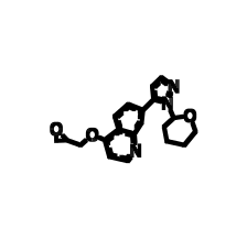 c1cc(OCC2CO2)c2ccc(-c3ccnn3C3CCCCO3)cc2n1